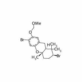 COCOc1cc2c(cc1Br)O[C@@]1(C)CC[C@H](Br)C(C)(C)[C@@H]1C2